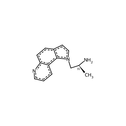 C[C@H](N)Cn1ccc2ccc3ncccc3c21